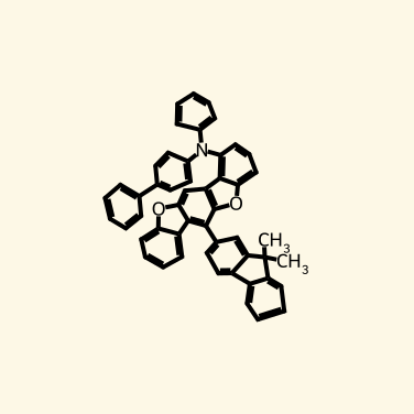 CC1(C)c2ccccc2-c2ccc(-c3c4oc5cccc(N(c6ccccc6)c6ccc(-c7ccccc7)cc6)c5c4cc4oc5ccccc5c34)cc21